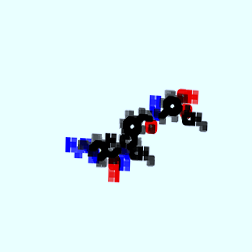 COc1cc(CNC(=O)Cc2cccc(CC(C)(C)NC[C@H](O)c3ccc(N)nc3)c2)ccc1O